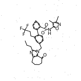 CCCc1nc2c(n1Cc1ccc(-c3ccccc3S(=O)(=O)Nc3onc(C)c3C)c(CCC(F)(F)F)c1)C(=O)CCCC2